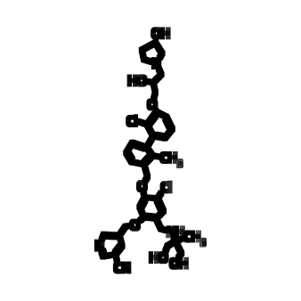 Cc1c(COc2cc(OCc3cncc(C#N)c3)c(CNC(C)(CO)CO)cc2Cl)cccc1-c1cccc(OCC(O)CN2CC[C@@H](O)C2)c1Cl